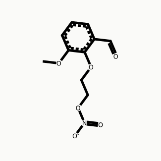 COc1cccc(C=O)c1OCCO[N+](=O)[O-]